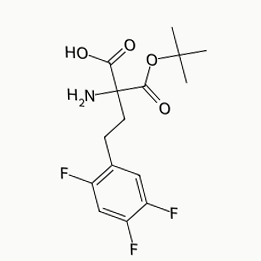 CC(C)(C)OC(=O)C(N)(CCc1cc(F)c(F)cc1F)C(=O)O